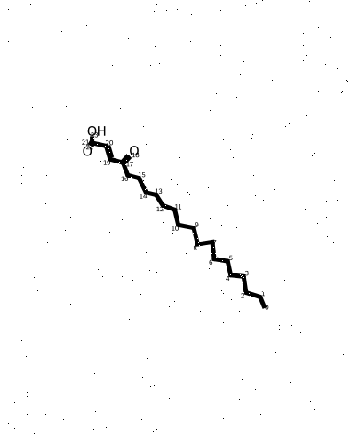 CCCCCCCCCCCCCCCCCC(=O)/C=C/C(=O)O